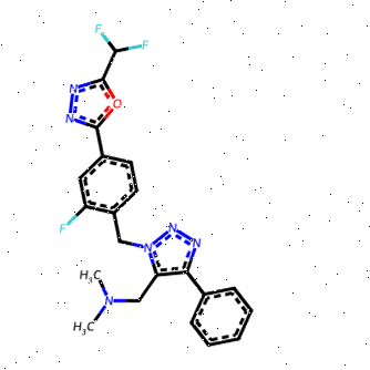 CN(C)Cc1c(-c2ccccc2)nnn1Cc1ccc(-c2nnc(C(F)F)o2)cc1F